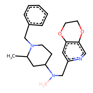 BN(Cc1cc2c(cn1)OCCO2)C1CCN(Cc2ccccc2)C(C)C1